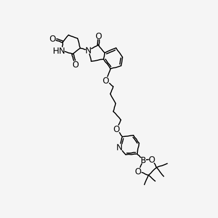 CC1(C)OB(c2ccc(OCCCCCOc3cccc4c3CN(C3CCC(=O)NC3=O)C4=O)nc2)OC1(C)C